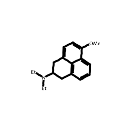 CCN(CC)C1Cc2cccc3c(OC)ccc(c23)C1